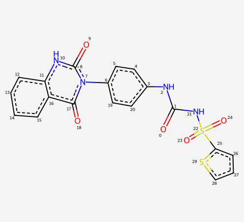 O=C(Nc1ccc(-n2c(=O)[nH]c3ccccc3c2=O)cc1)NS(=O)(=O)c1cccs1